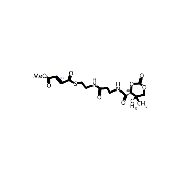 COC(=O)/C=C/C(=O)SCCNC(=O)CCNC(=O)[C@@H]1OC(=O)OCC1(C)C